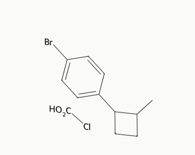 CC1CCC1c1ccc(Br)cc1.O=C(O)Cl